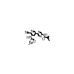 CC1CC1C(=O)Nc1cnc(-c2cnc(C#N)c(N[C@H](C=O)CN(C)C)c2)cn1